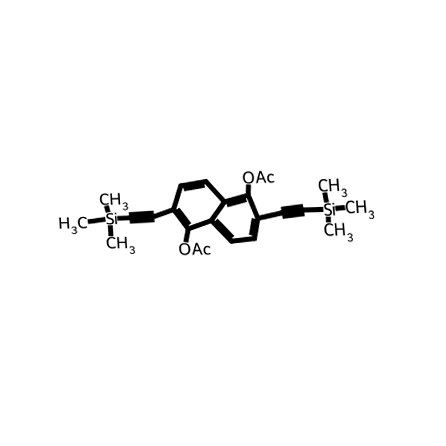 CC(=O)Oc1c(C#C[Si](C)(C)C)ccc2c(OC(C)=O)c(C#C[Si](C)(C)C)ccc12